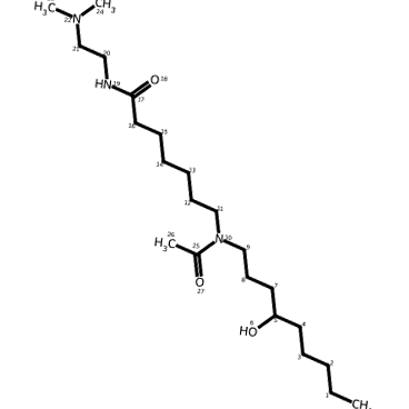 CCCCCC(O)CCCN(CCCCCCC(=O)NCCN(C)C)C(C)=O